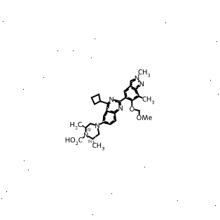 COCOc1c(-c2nc(C3CCC3)c3cc(N4C[C@H](C)N(C(=O)O)[C@@H](C)C4)ccc3n2)cc2cn(C)nc2c1C